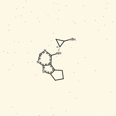 CCCCC1C[C@H]1Nc1ncnc2sc3c(c12)CCC3